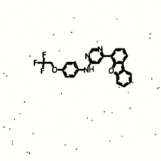 FC(F)(F)COc1ccc(Nc2cc(-c3cccc4c3oc3ccccc34)ncn2)cc1